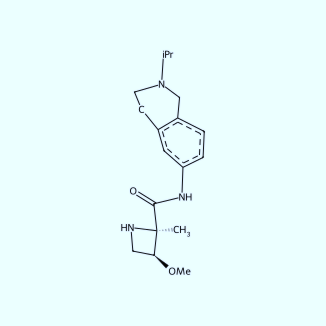 CO[C@H]1CN[C@@]1(C)C(=O)Nc1ccc2c(c1)CCN(C(C)C)C2